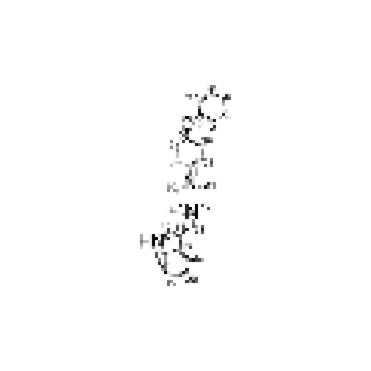 c1ccc(Oc2ccc(N3CCN(Cc4c[nH]c5ncccc45)CC3)cc2)cc1